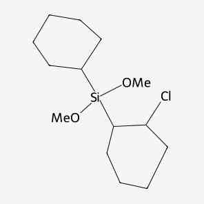 CO[Si](OC)(C1CCCCC1)C1CCCCC1Cl